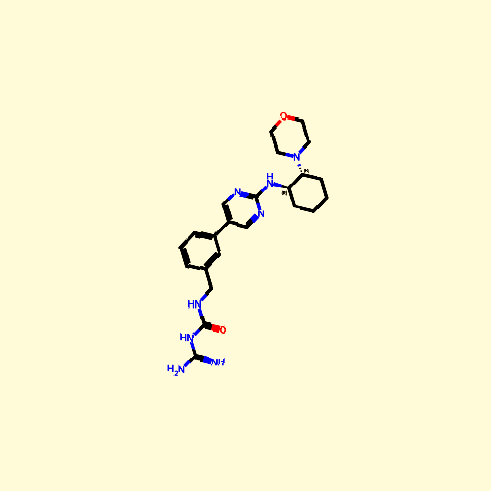 N=C(N)NC(=O)NCc1cccc(-c2cnc(N[C@@H]3CCCC[C@H]3N3CCOCC3)nc2)c1